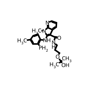 Cc1ccc(Nc2c(C(=O)NCCCOC(C)(C)O)c3cccnc3n2C)c(P)c1